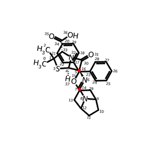 CC1(C)S[C@@H]2[C@H](N=CN3C4CCC3CC(OC(c3ccccc3)c3ccccc3)C4)C(=O)N2[C@H]1C(=O)O